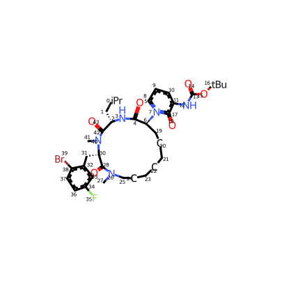 CC(C)C[C@@H]1NC(=O)[C@@H](n2cccc(NC(=O)OC(C)(C)C)c2=O)CCCCCCCN(C)C(=O)[C@H](Cc2cc(F)ccc2Br)N(C)C1=O